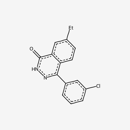 CCc1ccc2c(-c3cccc(Cl)c3)n[nH]c(=O)c2c1